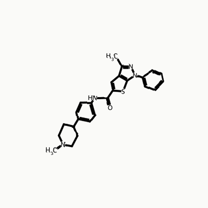 Cc1nn(-c2ccccc2)c2sc(C(=O)Nc3ccc(C4CCN(C)CC4)cc3)cc12